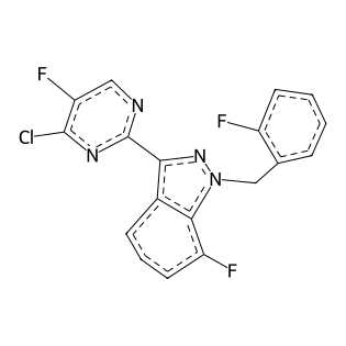 Fc1ccccc1Cn1nc(-c2ncc(F)c(Cl)n2)c2cccc(F)c21